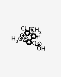 COc1cc(F)cc(-c2cc(CN(C)S(=O)(=O)c3ccc(F)c(Cl)c3)ccc2OCC(=O)O)c1